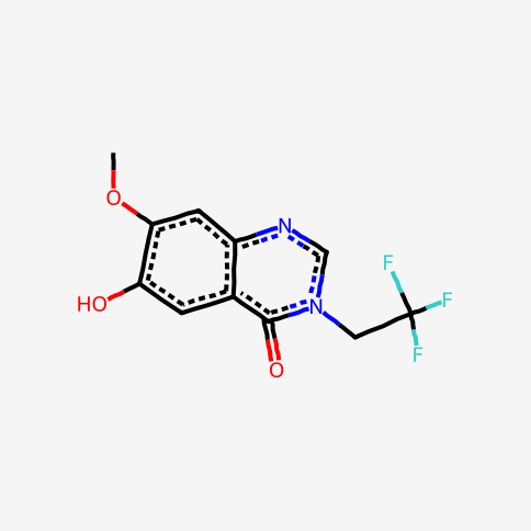 COc1cc2ncn(CC(F)(F)F)c(=O)c2cc1O